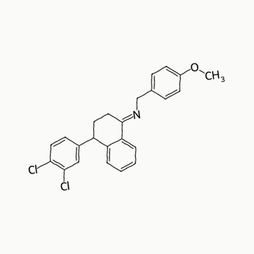 COc1ccc(CN=C2CCC(c3ccc(Cl)c(Cl)c3)c3ccccc32)cc1